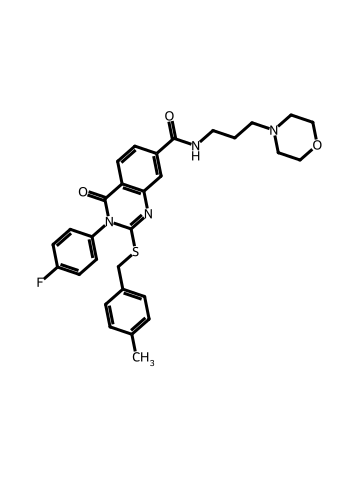 Cc1ccc(CSc2nc3cc(C(=O)NCCCN4CCOCC4)ccc3c(=O)n2-c2ccc(F)cc2)cc1